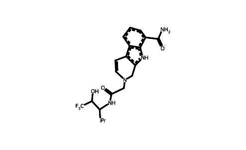 CC(C)C(NC(=O)CN1C=Cc2c([nH]c3c(C(N)=O)cccc23)C1)C(O)C(F)(F)F